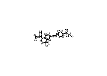 CCOC(=O)c1ccc(C#Cc2ccc3c(c2)C(C)(C)CCC3NC2CC2)cc1